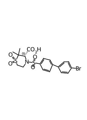 CC1(C)[C@H](C(=O)O)N(S(=O)(=O)c2ccc(-c3ccc(Br)cc3)cc2)CCS1(=O)=O